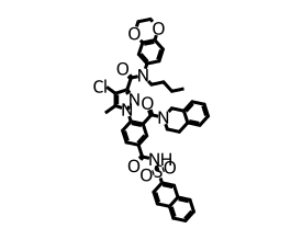 CCCCN(C(=O)c1nn(-c2ccc(C(=O)NS(=O)(=O)c3ccc4ccccc4c3)cc2C(=O)N2CCc3ccccc3C2)c(C)c1Cl)c1ccc2c(c1)OCCO2